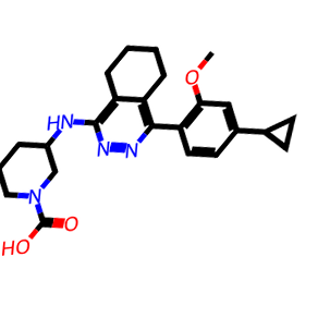 COc1cc(C2CC2)ccc1-c1nnc(NC2CCCN(C(=O)O)C2)c2c1CCCC2